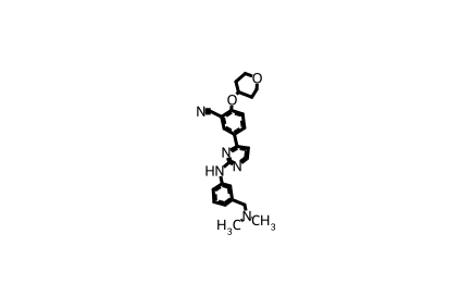 CN(C)Cc1cccc(Nc2nccc(-c3ccc(OC4CCOCC4)c(C#N)c3)n2)c1